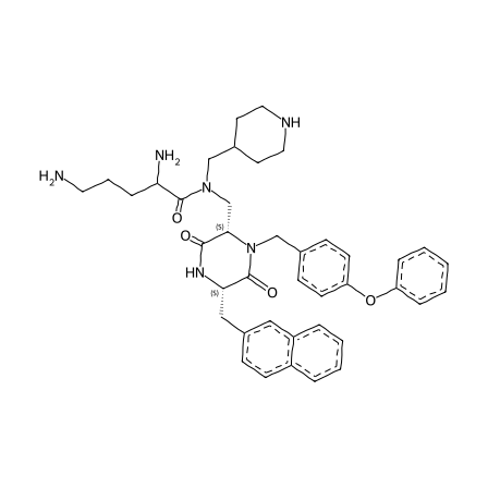 NCCCC(N)C(=O)N(CC1CCNCC1)C[C@H]1C(=O)N[C@@H](Cc2ccc3ccccc3c2)C(=O)N1Cc1ccc(Oc2ccccc2)cc1